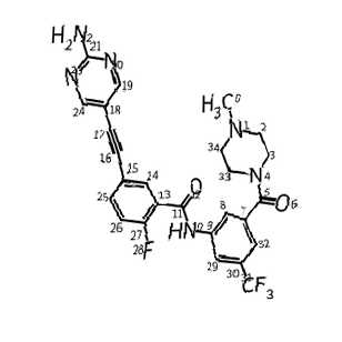 CN1CCN(C(=O)c2cc(NC(=O)c3cc(C#Cc4cnc(N)nc4)ccc3F)cc(C(F)(F)F)c2)CC1